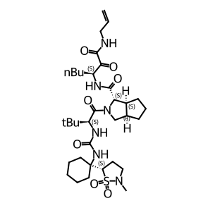 C=CCNC(=O)C(=O)[C@H](CCCC)NC(=O)[C@@H]1[C@H]2CCC[C@H]2CN1C(=O)[C@@H](NC(=O)NC1([C@@H]2CCN(C)S2(=O)=O)CCCCC1)C(C)(C)C